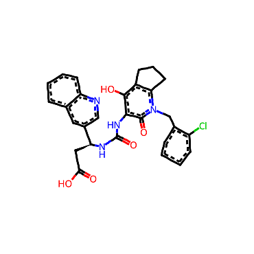 O=C(O)C[C@H](NC(=O)Nc1c(O)c2c(n(Cc3ccccc3Cl)c1=O)CCC2)c1cnc2ccccc2c1